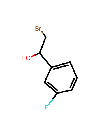 OC(CBr)c1cccc(F)c1